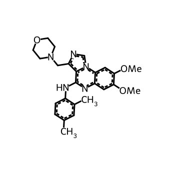 COc1cc2nc(Nc3ccc(C)cc3C)c3c(CN4CCOCC4)ncn3c2cc1OC